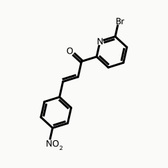 O=C(C=Cc1ccc([N+](=O)[O-])cc1)c1cccc(Br)n1